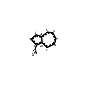 [Ni][c]1ccc2cccccc1-2